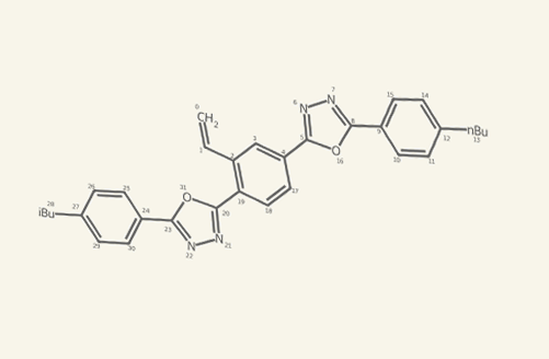 C=Cc1cc(-c2nnc(-c3ccc(CCCC)cc3)o2)ccc1-c1nnc(-c2ccc(C(C)CC)cc2)o1